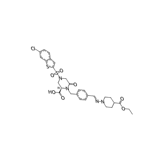 CCOC(=O)C1CCN(N=Cc2ccc(CN3C(=O)CN(S(=O)(=O)c4cc5ccc(Cl)cc5s4)C[C@@H]3C(=O)O)cc2)CC1